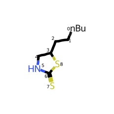 CCCCCCC1CNC(=S)S1